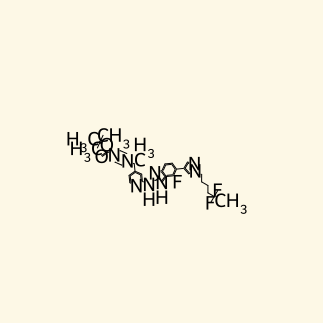 CC(c1ccnc(Nc2nc3ccc(-c4cnn(CCCCC(C)(F)F)c4)c(F)c3[nH]2)c1)N1CCN(C(=O)OC(C)(C)C)CC1